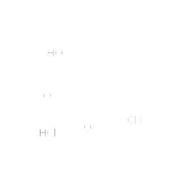 CC(=O)CC(=O)O.Cl